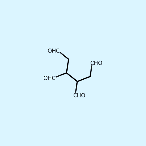 O=CCC(C=O)C(C=O)CC=O